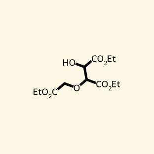 CCOC(=O)COC(C(=O)OCC)C(O)C(=O)OCC